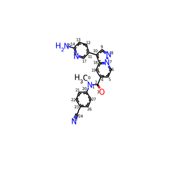 CN(C(=O)c1ccn2ncc(-c3ccc(N)nc3)c2c1)c1ccc(C#N)cc1